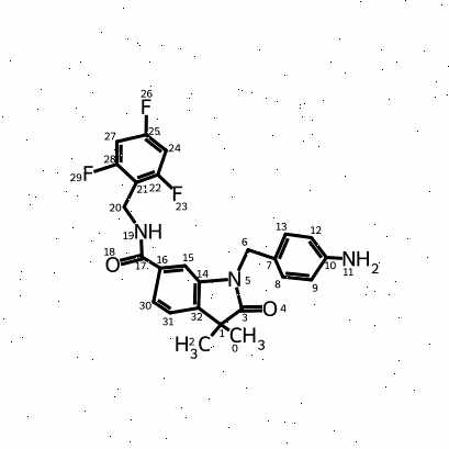 CC1(C)C(=O)N(Cc2ccc(N)cc2)c2cc(C(=O)NCc3c(F)cc(F)cc3F)ccc21